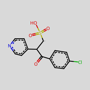 O=C(c1ccc(Cl)cc1)C([CH]S(=O)(=O)O)c1ccncc1